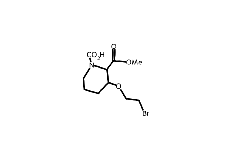 COC(=O)C1C(OCCBr)CCCN1C(=O)O